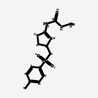 Cc1ccc(S(=O)(=O)CC2CSC(NC(=O)OC(C)(C)C)=N2)cc1